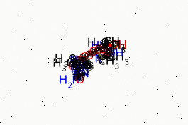 Cc1ncsc1-c1ccc([C@H](C)NC(=O)[C@@H]2C[C@@H](O)CN2C(=O)[C@@H](NC(=O)COCCOCCOCCOCCO[C@@H]2C[C@@H]([C@@H](C)Oc3nc4c(c(N5CCN(C(N)=O)[C@@H](CC#N)C5)n3)CCN(c3cccc5ccccc35)C4)N(C)C2)C(C)(C)C)cc1